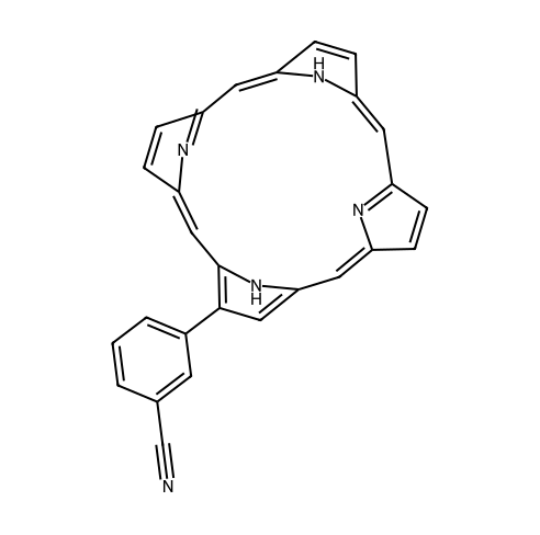 N#Cc1cccc(-c2cc3cc4nc(cc5ccc(cc6nc(cc2[nH]3)C=C6)[nH]5)C=C4)c1